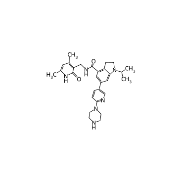 Cc1cc(C)c(CNC(=O)c2cc(-c3ccc(N4CCNCC4)nc3)cc3c2CCN3C(C)C)c(=O)[nH]1